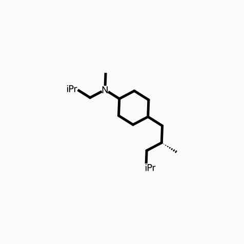 CC(C)C[C@@H](C)CC1CCC(N(C)CC(C)C)CC1